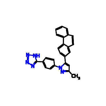 Cc1cc(-c2ccc3c(ccc4ccccc43)c2)n(-c2ccc(-c3nnn[nH]3)cc2)n1